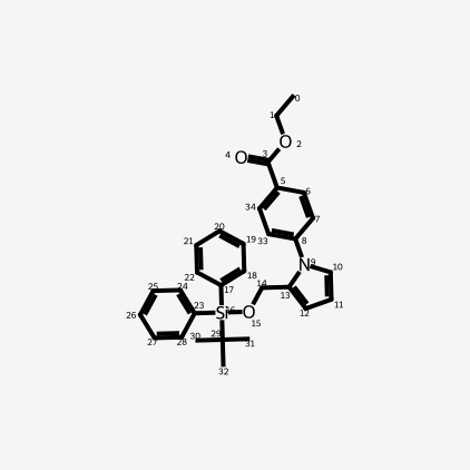 CCOC(=O)c1ccc(-n2cccc2CO[Si](c2ccccc2)(c2ccccc2)C(C)(C)C)cc1